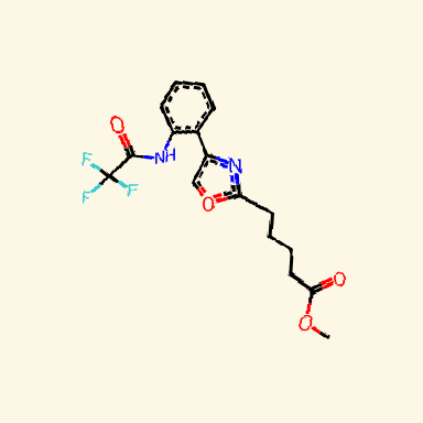 COC(=O)CCCCc1nc(-c2ccccc2NC(=O)C(F)(F)F)co1